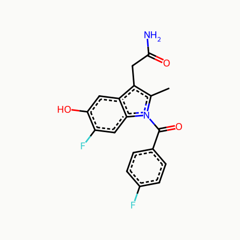 Cc1c(CC(N)=O)c2cc(O)c(F)cc2n1C(=O)c1ccc(F)cc1